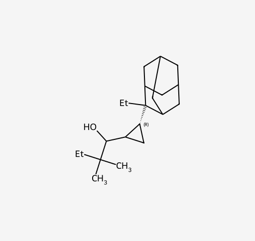 CCC(C)(C)C(O)C1C[C@H]1C1(CC)C2CC3CC(C2)CC1C3